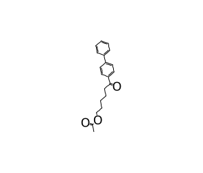 CC(=O)OCCCCCC(=O)c1ccc(-c2ccccc2)cc1